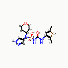 Cc1cc(NC(=O)NS(=O)(=O)N(c2cnn(C)c2)C2CCOCC2)c(C)s1